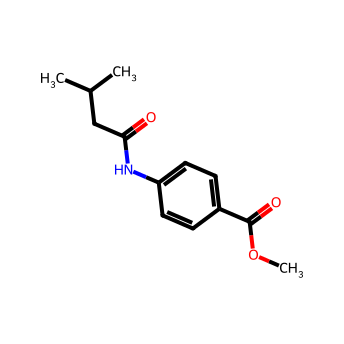 COC(=O)c1ccc(NC(=O)CC(C)C)cc1